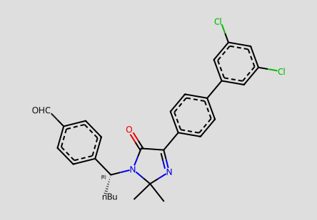 CCCC[C@H](c1ccc(C=O)cc1)N1C(=O)C(c2ccc(-c3cc(Cl)cc(Cl)c3)cc2)=NC1(C)C